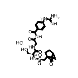 CC1(C)C2CCC1(CS(=O)(=O)N[C@@H](CO)C(=O)NCC(=O)NC(=O)c1ccc(NC(=N)N)cc1)C(=O)C2.Cl